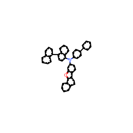 c1ccc(-c2ccc(N(c3ccc4c(c3)oc3c5ccccc5ccc43)c3ccc(-c4cccc5ccccc45)c4ccccc34)cc2)cc1